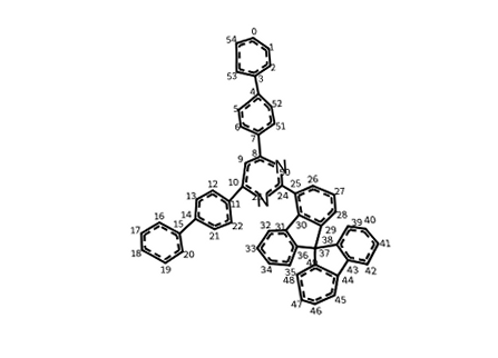 c1ccc(-c2ccc(-c3cc(-c4ccc(-c5ccccc5)cc4)nc(-c4cccc5c4-c4ccccc4C54c5ccccc5-c5ccccc54)n3)cc2)cc1